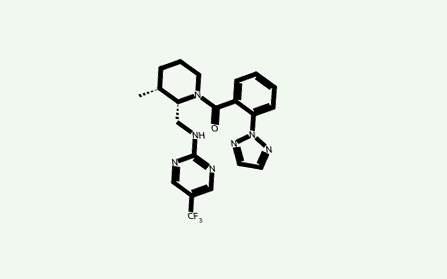 C[C@@H]1CCCN(C(=O)c2ccccc2-n2nccn2)[C@@H]1CNc1ncc(C(F)(F)F)cn1